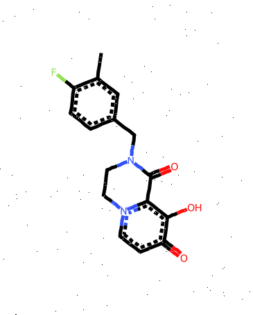 Cc1cc(CN2CCn3ccc(=O)c(O)c3C2=O)ccc1F